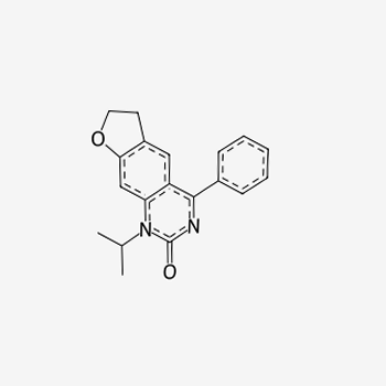 CC(C)n1c(=O)nc(-c2ccccc2)c2cc3c(cc21)OCC3